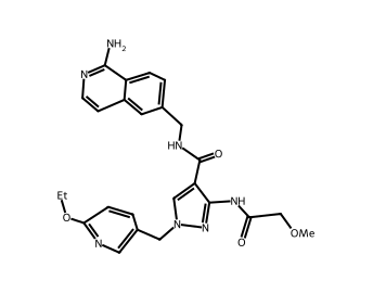 CCOc1ccc(Cn2cc(C(=O)NCc3ccc4c(N)nccc4c3)c(NC(=O)COC)n2)cn1